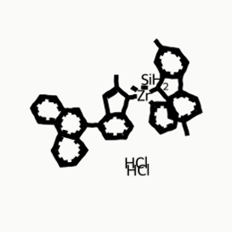 CC1=Cc2c(-c3cc4ccccc4c4ccccc34)cccc2[CH]1[Zr]([CH3])(=[SiH2])([c]1ccccc1)[CH]1c2cc(C)ccc2-c2ccc(C)cc21.Cl.Cl